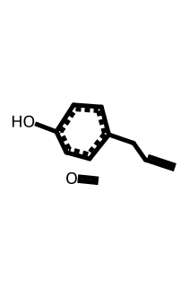 C=CCc1ccc(O)cc1.C=O